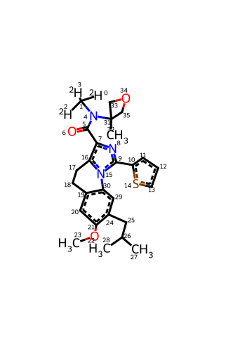 [2H]C([2H])([2H])N(C(=O)c1nc(-c2cccs2)n2c1CCc1cc(OC)c(CC(C)C)cc1-2)C1(C)COC1